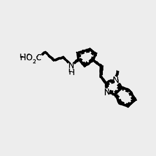 Cn1c(C=Cc2cccc(NCCCC(=O)O)c2)nc2ccccc21